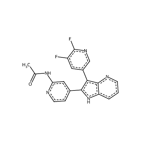 CC(=O)Nc1cc(-c2[nH]c3cccnc3c2-c2cnc(F)c(F)c2)ccn1